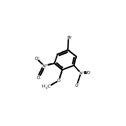 COc1c([N+](=O)[O-])cc(Br)cc1[N+](=O)[O-]